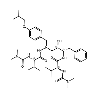 CC(C)COc1ccc(CN(C[C@H](O)[C@H](Cc2ccccc2)NC(=O)[C@@H](NC(=O)N(C)C)C(C)C)NC(=O)[C@@H](NC(=O)N(C)C)C(C)C)cc1